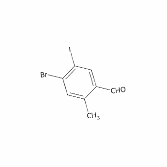 Cc1cc(Br)c(I)cc1C=O